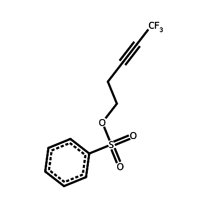 O=S(=O)(OCCC#CC(F)(F)F)c1ccccc1